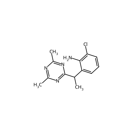 Cc1nc(C)nc(C(C)c2cccc(Cl)c2N)n1